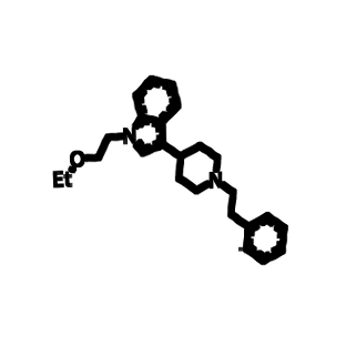 CCOCCn1cc(C2CCN(CCc3[c]cccc3)CC2)c2ccccc21